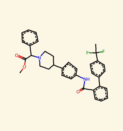 COC(=O)C(c1ccccc1)N1CCC(c2ccc(NC(=O)c3ccccc3-c3ccc(C(C)(F)F)cc3)cc2)CC1